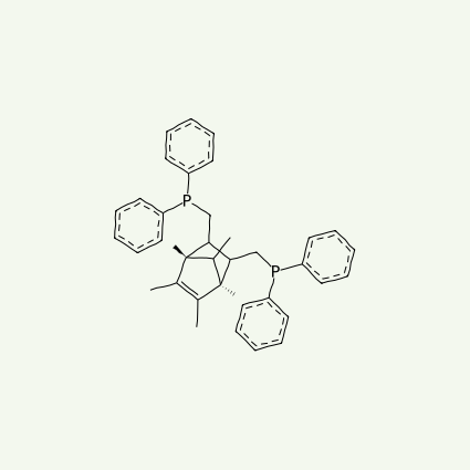 CC1=C(C)[C@]2(C)C(CP(c3ccccc3)c3ccccc3)C(CP(c3ccccc3)c3ccccc3)[C@]1(C)C2C